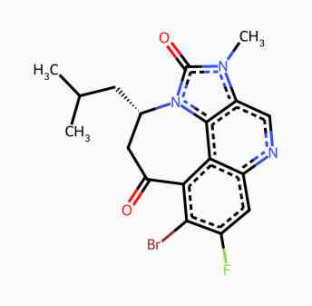 CC(C)C[C@H]1CC(=O)c2c(Br)c(F)cc3ncc4c(c23)n1c(=O)n4C